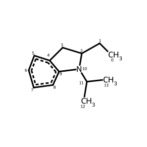 CCC1Cc2ccccc2N1C(C)C